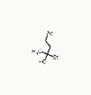 CCC(C)(O)CCC(C)=O